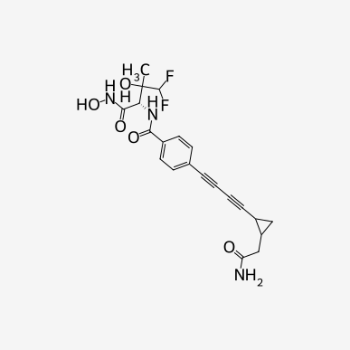 CC(O)(C(F)F)[C@H](NC(=O)c1ccc(C#CC#CC2CC2CC(N)=O)cc1)C(=O)NO